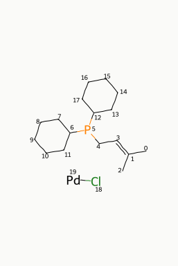 CC(C)=CCP(C1CCCCC1)C1CCCCC1.[Cl][Pd]